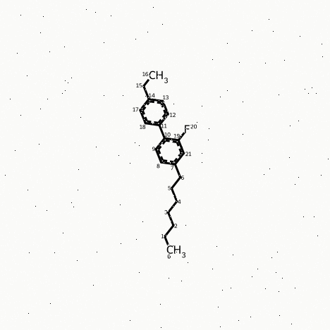 CCCCCCCc1ccc(-c2ccc(CC)cc2)c(F)c1